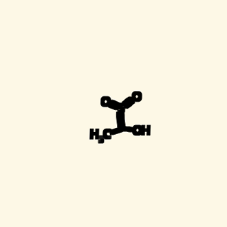 CC(O)=S(=O)=O